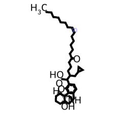 CCCCCCCC/C=C\CCCCCC(=O)CCCC(CC1CC1)C(C(=O)O)c1ccc2c3c1O[C@@H]1CCC[C@@]4(O)C(C2)NCC[C@]314